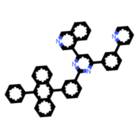 c1ccc(-c2c3ccccc3c(-c3cccc(-c4nc(-c5cccc(-c6ccccn6)c5)cc(-c5cncc6ccccc56)n4)c3)c3ccccc23)cc1